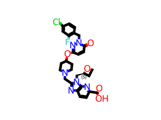 O=C(O)c1ccc2nc(CN3CCC(Oc4ccc(=O)n(Cc5ccc(Cl)cc5F)n4)CC3)n(C[C@@H]3CCO3)c2n1